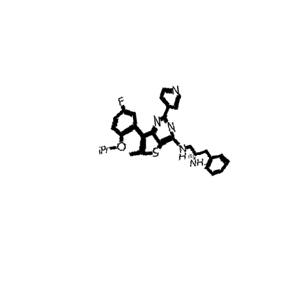 Cc1sc2c(NC[C@@H](N)Cc3ccccc3)nc(-c3ccncc3)nc2c1-c1cc(F)ccc1OC(C)C